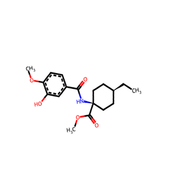 CC[C@H]1CC[C@](NC(=O)c2ccc(OC)c(O)c2)(C(=O)OC)CC1